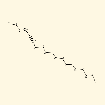 CC[CH]OC#CCCCCCCCCCCCCC